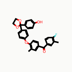 Cc1cc(C(=O)c2ccc(Oc3ccc(C4(c5ccc(O)cc5)OCCO4)cc3)c(C)c2)ccc1F